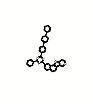 c1ccc(-c2ccc(-c3ccc(-c4nc(-c5ccccc5)nc(-c5ccc6ccc7c8cnccc8oc7c6c5)n4)cc3)cc2)cc1